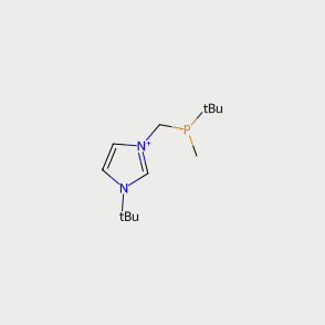 CP(C[n+]1ccn(C(C)(C)C)c1)C(C)(C)C